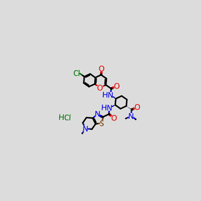 CN1CCc2nc(C(=O)N[C@@H]3C[C@@H](C(=O)N(C)C)CC[C@@H]3NC(=O)c3cc(=O)c4cc(Cl)ccc4o3)sc2C1.Cl